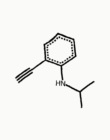 C#Cc1ccccc1NC(C)C